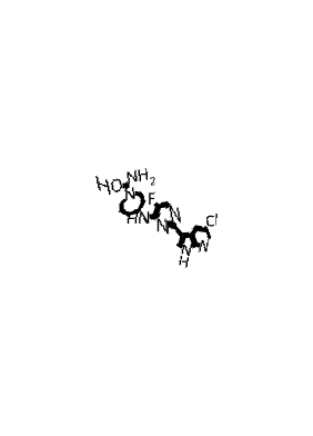 NC(O)N1CCCC(Nc2nc(-c3c[nH]c4ncc(Cl)cc34)ncc2F)CC1